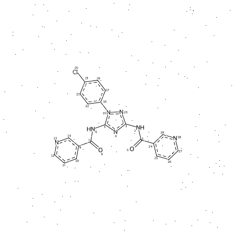 O=C(Nc1nc(NC(=O)c2cccnc2)n(-c2ccc(Cl)cc2)n1)c1cccnc1